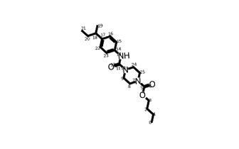 CCCCOC(=O)N1CCN(C(=O)Nc2ccc(C(C)CC)cc2)CC1